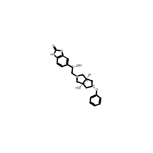 O=c1[nH]c2ccc([C@H](O)CN3C[C@H]4C[C@H](Oc5ccccc5)C[C@@]4(O)C3)cc2o1